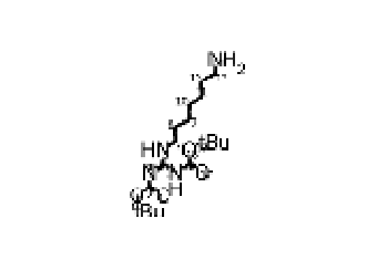 CC(C)(C)OC(=O)N=C(NCCCCCCCN)NC(=O)OC(C)(C)C